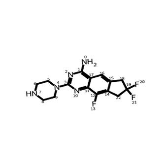 Nc1nc(N2CCNCC2)nc2c(F)c3c(cc12)CC(F)(F)C3